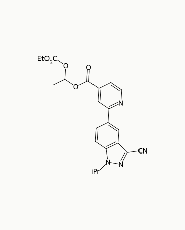 CCOC(=O)OC(C)OC(=O)c1ccnc(-c2ccc3c(c2)c(C#N)nn3C(C)C)c1